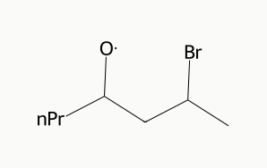 CCCC([O])CC(C)Br